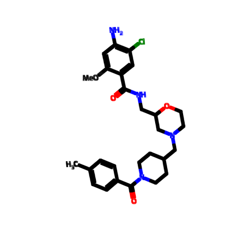 COc1cc(N)c(Cl)cc1C(=O)NCC1CN(CC2CCN(C(=O)c3ccc(C)cc3)CC2)CCO1